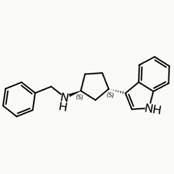 c1ccc(CN[C@H]2CC[C@H](c3c[nH]c4ccccc34)C2)cc1